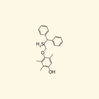 Cc1cc(O)c(C)c(C)c1OC[SiH2]C(c1ccccc1)c1ccccc1